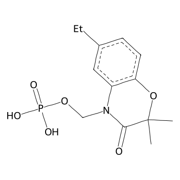 CCc1ccc2c(c1)N(COP(=O)(O)O)C(=O)C(C)(C)O2